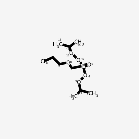 CC(C)OOP(=O)(COCCCl)OOC(C)C